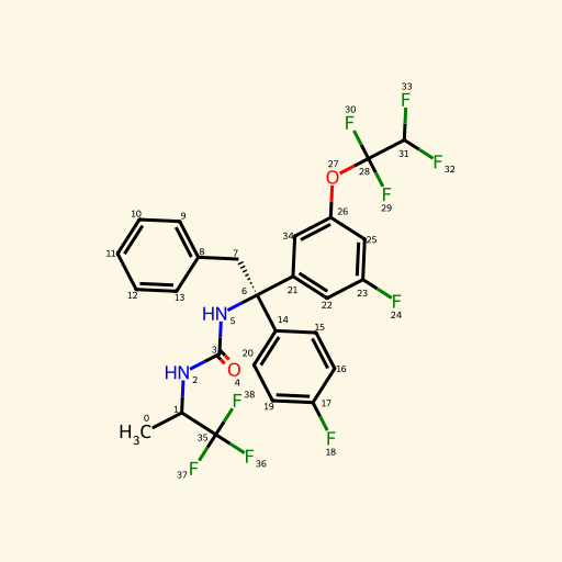 CC(NC(=O)N[C@](Cc1ccccc1)(c1ccc(F)cc1)c1cc(F)cc(OC(F)(F)C(F)F)c1)C(F)(F)F